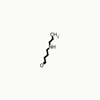 [CH2]CCNCCCC=O